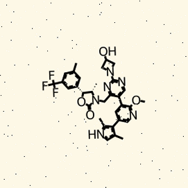 COc1ncc(-c2c(C)c[nH]c2C)cc1-c1cnc(N2CC(O)C2)nc1CN1C(=O)O[C@H](c2cc(C)cc(C(F)(F)F)c2)[C@@H]1C